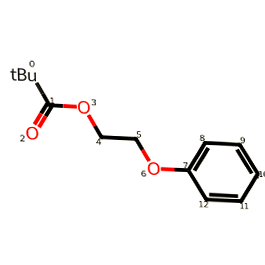 CC(C)(C)C(=O)OCCOc1cc[c]cc1